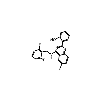 Oc1ccccc1-c1nc(NCc2c(F)cccc2F)c2cc(F)ccc2n1